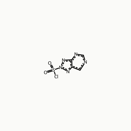 O=S(=O)(Cl)n1nc2cncnc2n1